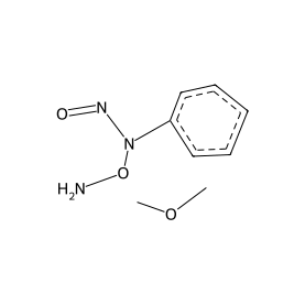 COC.NON(N=O)c1ccccc1